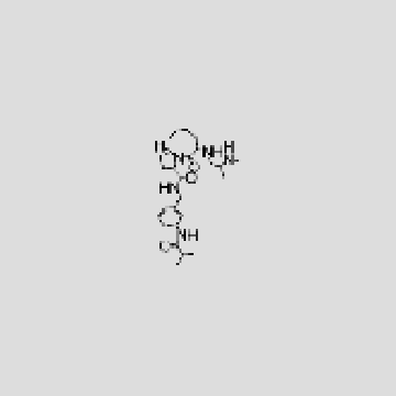 C=C(C)C(=O)Nc1cccc(CNC(=O)[C@@H]2CC[C@@H]3CCCC[C@H](NC[C@H](C)NC)C(=O)N32)c1